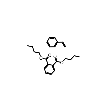 C=Cc1ccccc1.CCCCOC(=O)c1ccccc1C(=O)OCCCC